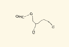 O=COC(Cl)CCl